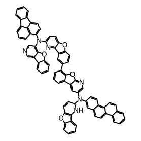 C1=CC(N(c2ccc3c(ccc4c5ccccc5ccc34)c2)c2cnc3oc4c(-c5ccc6oc7ccc(N(c8ccc9c%10c(cccc8%10)-c8ccccc8-9)c8cncc9c8oc8ccccc89)nc7c6c5)cccc4c3c2)Nc2c1oc1ccccc21